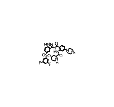 CN1CCN(c2ccc(C(=O)Nc3n[nH]c4ccc(S(=O)(=O)c5cc(F)cc(F)c5)cc34)c(NC(=O)C3CCCCN3)c2)CC1